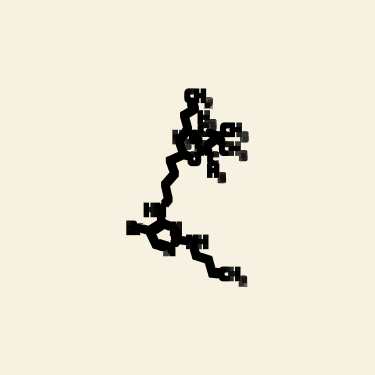 C=CCCCC(CCCCNc1nc(NCCC=C)ncc1Br)O[Si](C)(C)C(C)(C)C